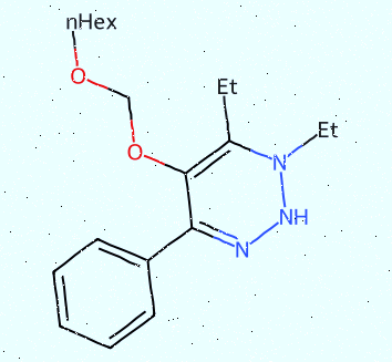 CCCCCCOCOC1=C(CC)N(CC)NN=C1c1ccccc1